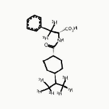 [2H]C([2H])([2H])C([C@H]1CC[C@H](C(=O)N[C@@H](C(=O)O)C([2H])([2H])c2ccccc2)CC1)C([2H])([2H])[2H]